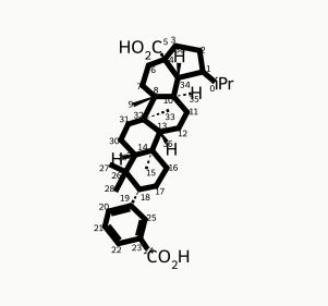 CC(C)C1CC[C@]2(C(=O)O)CC[C@]3(C)[C@H](CC[C@@H]4[C@@]5(C)CC[C@H](c6cccc(C(=O)O)c6)C(C)(C)[C@@H]5CC[C@]43C)[C@@H]12